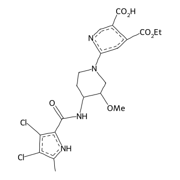 CCOC(=O)c1cc(N2CCC(NC(=O)c3[nH]c(C)c(Cl)c3Cl)C(OC)C2)ncc1C(=O)O